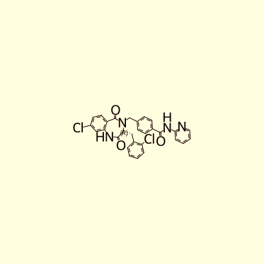 O=C(Nc1ccccn1)c1ccc(CN2C(=O)c3ccc(Cl)cc3NC(=O)[C@H]2Cc2ccccc2Cl)cc1